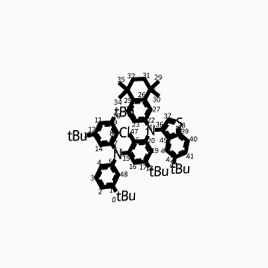 CC(C)(C)c1cccc(N(c2cc(C(C)(C)C)cc(C(C)(C)C)c2)c2cc(C(C)(C)C)cc(N(c3ccc4c(c3)C(C)(C)CCC4(C)C)c3csc4ccc(C(C)(C)C)cc34)c2Cl)c1